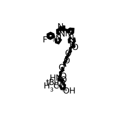 C[C@@H]1C[C@@H](O)CN1C(=O)[C@@H](NC(=O)CCOCCOCCOCCC(=O)N1CCN(c2cccc(-c3cnc4ccc(N5CCC[C@@H]5c5cccc(F)c5)nn34)n2)CC1)C(C)(C)C